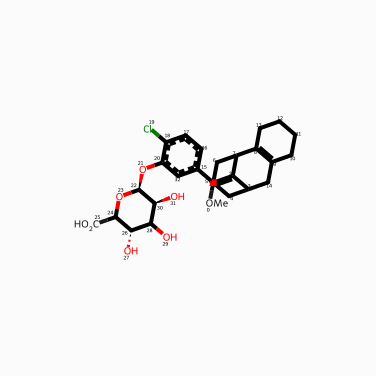 CO/C(=C1\C2CCCC1C1=C(CCCC1)C2)c1ccc(Cl)c(O[C@@H]2OC(C(=O)O)[C@@H](O)C(O)[C@@H]2O)c1